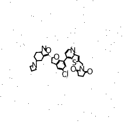 O=C1CCC(=O)N1Cc1cc2nccc(-c3cc(Cl)cc4c3O[C@@H](c3onc5c3CC(N3CCC3)CC5)C4)c2s1